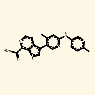 CNC(=O)c1nccc2c(-c3cnc(Nc4ccc(C)nc4)cc3C)c[nH]c12